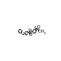 Cn1c(=O)sc2cc(S(=O)(=O)N3CCN(Cc4ccccc4)CC3)ccc21